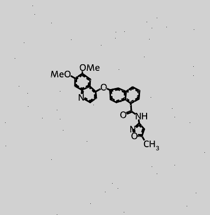 COc1cc2nccc(Oc3ccc4c(C(=O)Nc5cc(C)on5)cccc4c3)c2cc1OC